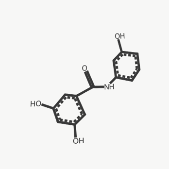 O=C(Nc1cccc(O)c1)c1cc(O)cc(O)c1